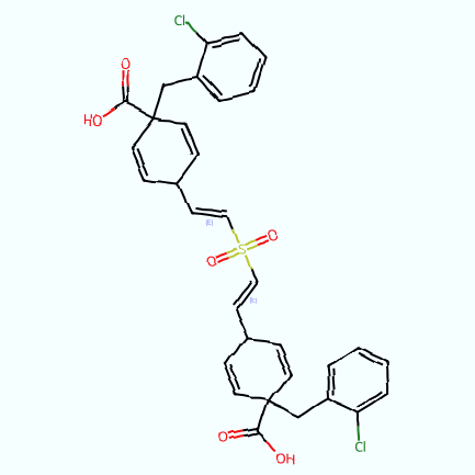 O=C(O)C1(Cc2ccccc2Cl)C=CC(/C=C/S(=O)(=O)/C=C/C2C=CC(Cc3ccccc3Cl)(C(=O)O)C=C2)C=C1